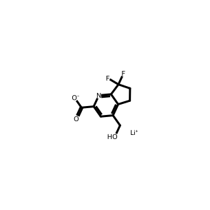 O=C([O-])c1cc(CO)c2c(n1)C(F)(F)CC2.[Li+]